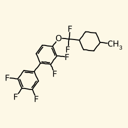 CC1CCC(C(F)(F)Oc2ccc(-c3cc(F)c(F)c(F)c3)c(F)c2F)CC1